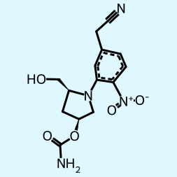 N#CCc1ccc([N+](=O)[O-])c(N2C[C@@H](OC(N)=O)C[C@H]2CO)c1